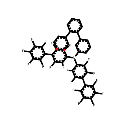 Fc1c(F)c(F)c(-c2c(F)c(F)c(N(c3cccc(-c4ccccc4-c4ccccc4)c3)c3c(F)c(F)c(-c4c(F)c(F)c(F)c(F)c4F)c(F)c3F)c(F)c2F)c(F)c1F